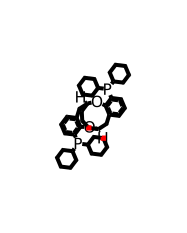 c1cc2c(c(P(C3CCCCC3)C3CCCCC3)c1)O[C@@H]1CCC[C@H](C2)Oc2c(cccc2P(C2CCCCC2)C2CCCCC2)C1